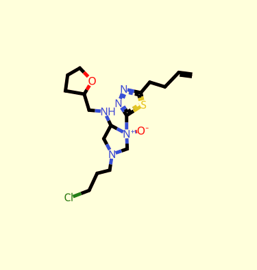 C=CCCc1nnc([N+]2([O-])CN(CCCCl)CC2NCC2CCCO2)s1